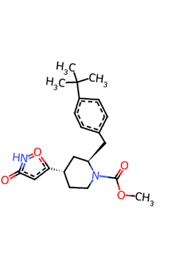 COC(=O)N1CC[C@H](c2cc(=O)[nH]o2)C[C@H]1Cc1ccc(C(C)(C)C)cc1